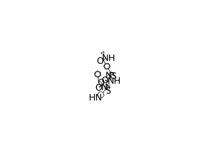 O=C(NC1CC1)c1ccc(-c2csc(NC(=O)[C@@H]3CSC(C4CCNCC4)N3C(=O)OCc3ccccc3)n2)cc1